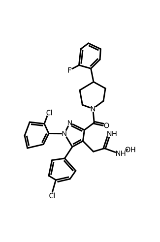 N=C(Cc1c(C(=O)N2CCC(c3ccccc3F)CC2)nn(-c2ccccc2Cl)c1-c1ccc(Cl)cc1)NO